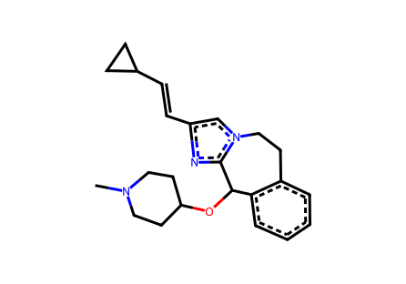 CN1CCC(OC2c3ccccc3CCn3cc(C=CC4CC4)nc32)CC1